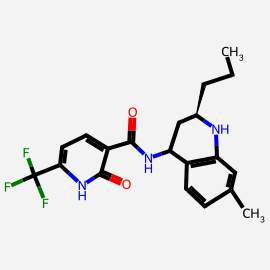 CCC[C@@H]1CC(NC(=O)c2ccc(C(F)(F)F)[nH]c2=O)c2ccc(C)cc2N1